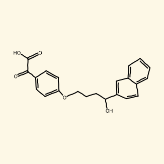 O=C(O)C(=O)c1ccc(OCCCC(O)c2ccc3ccccc3c2)cc1